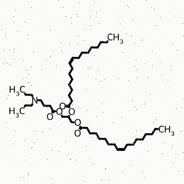 CCCCCCCC/C=C\CCCCCCCC(=O)OCC(COC(=O)CCCN(CCC)CCC)OC(=O)CCCCCCC/C=C\CCCCCCCC